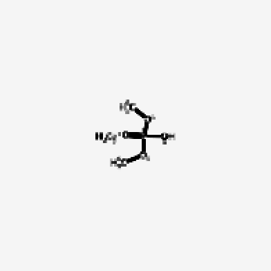 COP(=O)(O)OC.[CaH2]